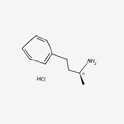 C[C@H](N)CCc1ccccc1.Cl